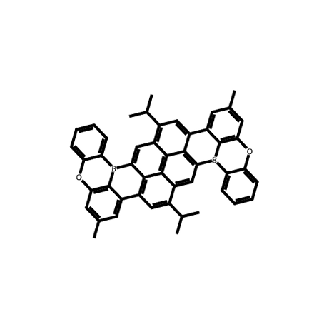 Cc1cc2c3c(c1)-c1cc(C(C)C)c4cc5c6c(cc(C(C)C)c7cc(c1c4c76)B3c1ccccc1O2)-c1cc(C)cc2c1B5c1ccccc1O2